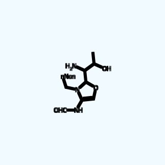 CCCCCCCCCCN1C(NC=O)=COC1C(N)C(C)O